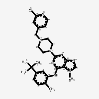 Cc1ccc(C(C)(C)C)cc1Nc1nc(N2CCN(Cc3ccnc(Cl)c3)CC2)nc2ncn(C)c12